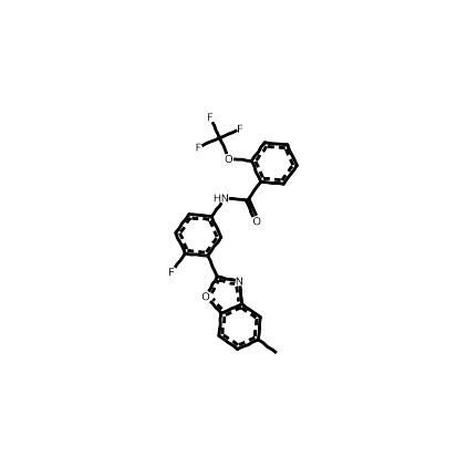 Cc1ccc2oc(-c3cc(NC(=O)c4ccccc4OC(F)(F)F)ccc3F)nc2c1